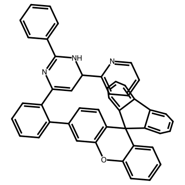 C1=C(c2ccccc2-c2ccc3c(c2)Oc2ccccc2C32c3ccccc3-c3ccccc32)N=C(c2ccccc2)NC1c1ccccn1